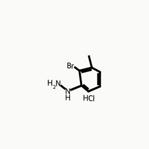 Cc1cccc(NN)c1Br.Cl